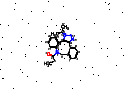 CCC(=O)N1Cc2ccccc2-c2nnn(C(C)C)c2-c2ccccc21